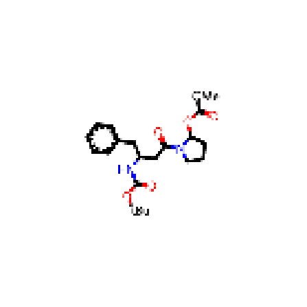 COC(=O)OC1CCCN1C(=O)CC(Cc1ccccc1)NC(=O)OC(C)(C)C